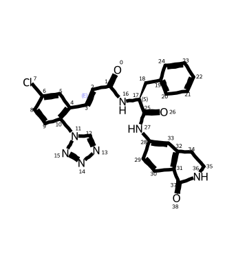 O=C(/C=C/c1cc(Cl)ccc1-n1cnnn1)N[C@@H](Cc1ccccc1)C(=O)Nc1ccc2c(c1)CCNC2=O